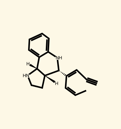 C#C/C=C(\C=C/C)[C@H]1Nc2ccccc2[C@H]2NCC[C@@H]12